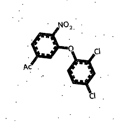 CC(=O)c1ccc([N+](=O)[O-])c(Oc2ccc(Cl)cc2Cl)c1